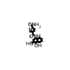 NC(=O)c1ccc(C(=O)Nc2cc(O)c(O)c3ccccc23)cn1